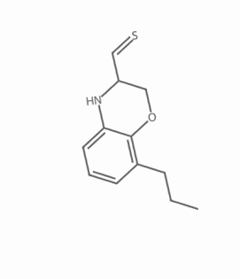 CCCc1cccc2c1OCC(C=S)N2